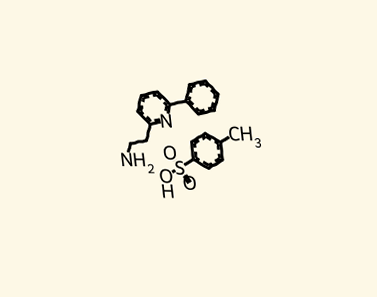 Cc1ccc(S(=O)(=O)O)cc1.NCCc1cccc(-c2ccccc2)n1